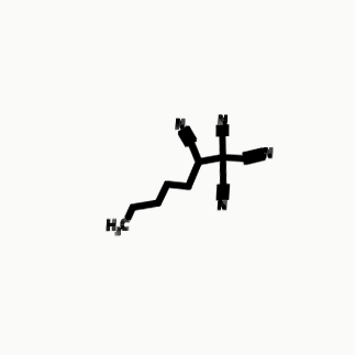 CCCCCC(C#N)C(C#N)(C#N)C#N